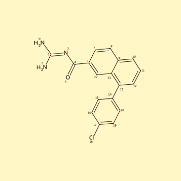 NC(N)=NC(=O)c1ccc2cccc(-c3ccc(Cl)cc3)c2c1